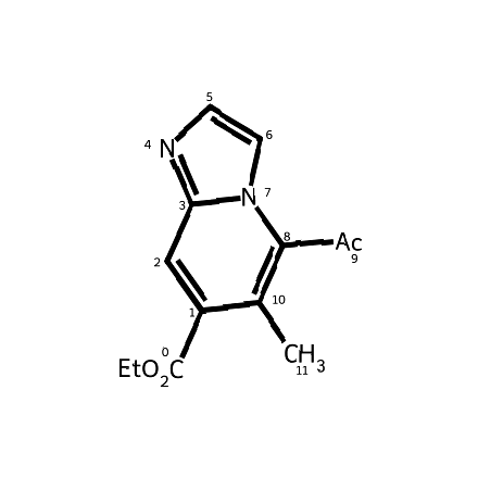 CCOC(=O)c1cc2nccn2c(C(C)=O)c1C